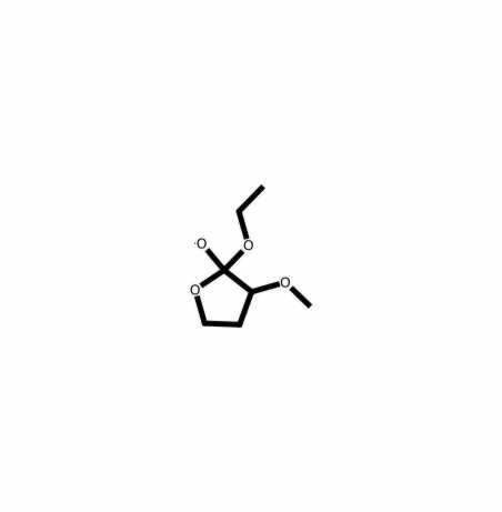 CCOC1([O])OCC[C]1OC